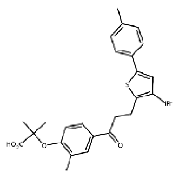 Cc1ccc(-c2cc(C(C)C)c(CCC(=O)c3ccc(OC(C)(C)C(=O)O)c(C)c3)s2)cc1